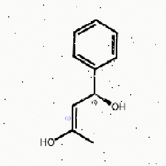 C/C(O)=C\[C@H](O)c1ccccc1